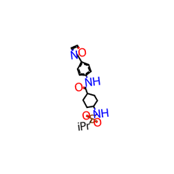 CC(C)S(=O)(=O)NC1CCC(C(=O)Nc2ccc(-c3ncco3)cc2)CC1